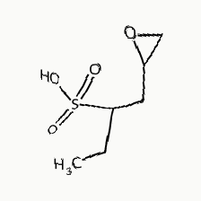 CCC(CC1CO1)S(=O)(=O)O